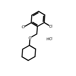 Cl.Clc1cccc(Cl)c1COC1CCCCC1